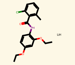 CCOc1ccc(PC(=O)c2c(C)cccc2Cl)c(OCC)c1.[LiH]